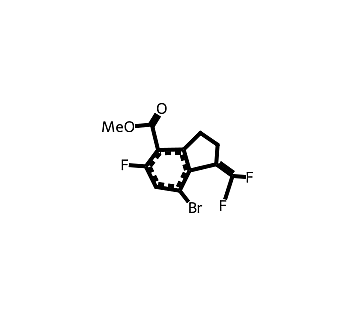 COC(=O)c1c(F)cc(Br)c2c1CCC2=C(F)F